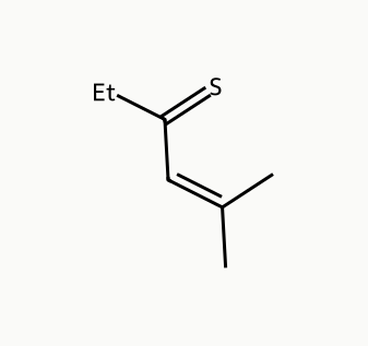 CCC(=S)C=C(C)C